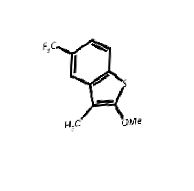 COc1sc2ccc(C(F)(F)F)cc2c1C